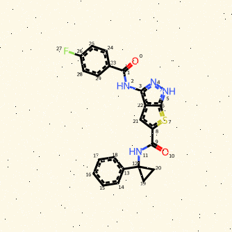 O=C(Nc1n[nH]c2sc(C(=O)NC3(c4ccccc4)CC3)cc12)c1ccc(F)cc1